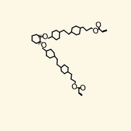 C=CC(=O)OCCCC1CCC(CCC2CCC(CO[C@@H]3CCCC[C@H]3OCC3CCC(CCC4CCC(CCCOC(=O)C=C)CC4)CC3)CC2)CC1